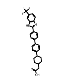 O=C(O)CC1CCC(c2ccc(-c3ccc(-c4nc5ccc(C(F)(F)F)cc5[nH]4)cn3)cc2)CC1